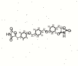 O=C1NC(=O)C(Cc2ccc(OCc3ccc(COc4ccc(CC5OC(=O)NC5=O)cc4)cc3)cc2)O1